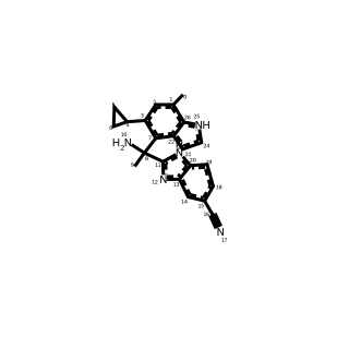 Cc1cc(C2CC2)c(C(C)(N)c2nc3cc(C#N)ccc3[nH]2)c2cc[nH]c12